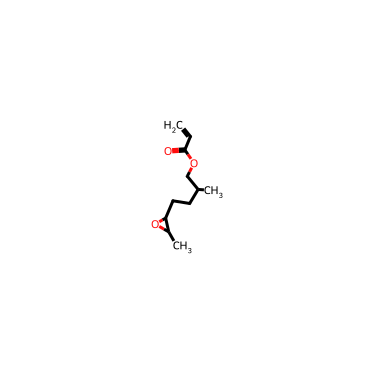 C=CC(=O)OCC(C)CCC1OC1C